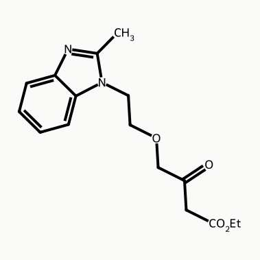 CCOC(=O)CC(=O)COCCn1c(C)nc2ccccc21